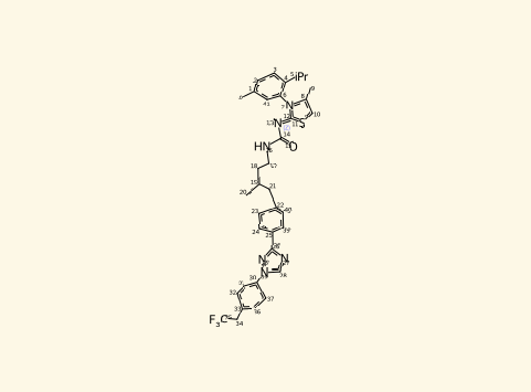 Cc1ccc(C(C)C)c(-n2c(C)cs/c2=N\C(=O)NCCC(C)Cc2ccc(-c3ncn(-c4ccc(CC(F)(F)F)cc4)n3)cc2)c1